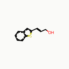 OC/C=C/c1cc2ccccc2s1